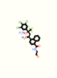 C=C(CC(ON)(c1cc(Cl)c(Cl)c(Cl)c1)C(F)(F)F)c1ccc(C(=O)NCC=O)c2ccccc12